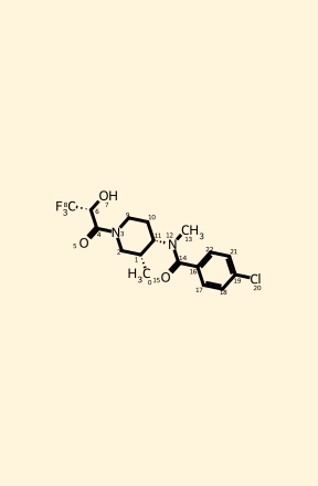 C[C@@H]1CN(C(=O)[C@@H](O)C(F)(F)F)CC[C@@H]1N(C)C(=O)c1ccc(Cl)cc1